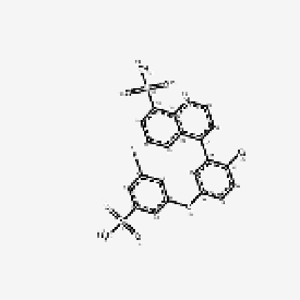 CS(=O)(=O)c1cc(F)cc(Oc2ccc(Cl)c(-c3ccnc4c(S(C)(=O)=O)cccc34)c2)c1